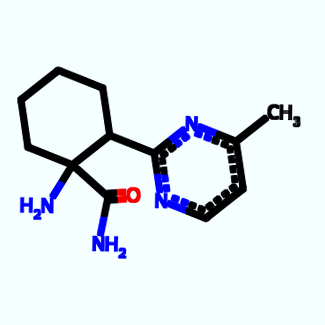 Cc1ccnc(C2CCCCC2(N)C(N)=O)n1